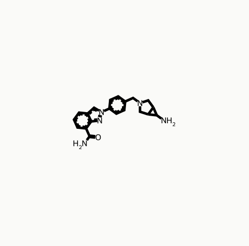 NC(=O)c1cccc2cn(-c3ccc(CN4CC5C(N)C5C4)cc3)nc12